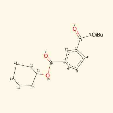 CC(C)COC(=O)c1cccc(C(=O)OC2CCCCC2)c1